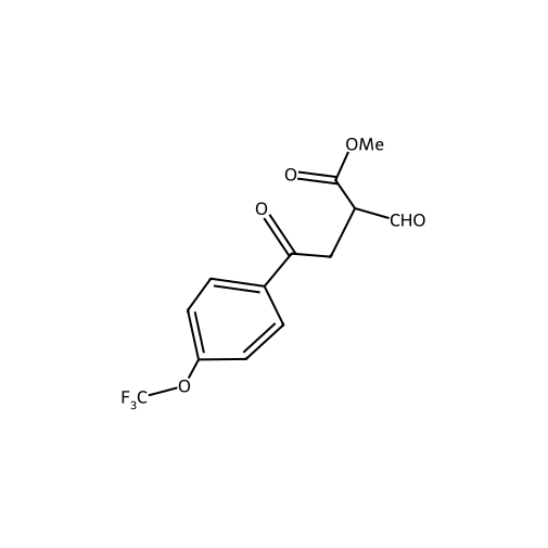 COC(=O)C(C=O)CC(=O)c1ccc(OC(F)(F)F)cc1